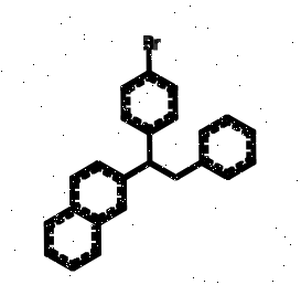 Brc1ccc(C(Cc2ccccc2)c2ccc3ccccc3c2)cc1